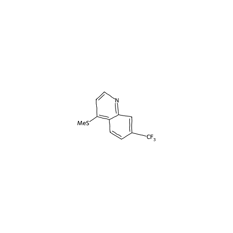 CSc1ccnc2cc(C(F)(F)F)ccc12